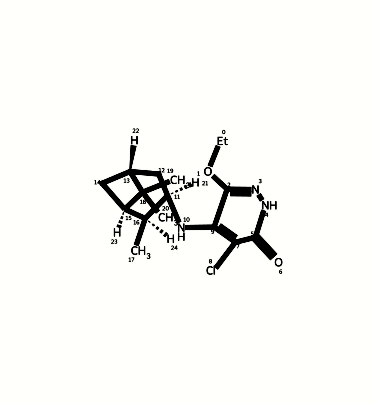 CCOc1n[nH]c(=O)c(Cl)c1N[C@@H]1C[C@H]2C[C@H]([C@@H]1C)C2(C)C